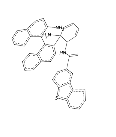 C=C(NC1C=CC=CC1(N)c1ccc2ccccc2c1-c1c(N)ccc2ccccc12)c1ccc2sc3ccccc3c2c1